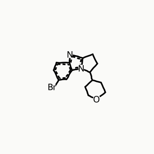 Brc1ccc2nc3n(c2c1)C(C1CCOCC1)CC3